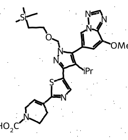 COc1cc(-c2c(C(C)C)c(-c3cnc(C4=CCN(C(=O)O)CC4)s3)nn2COCC[Si](C)(C)C)cn2ncnc12